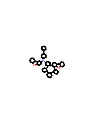 c1ccc(-c2ccc(N(c3ccc4oc5ccccc5c4c3)c3ccc4c(c3)c3ccccc3c3ccccc3c3ccccc3c3c4ccc4c5ccccc5oc43)cc2)cc1